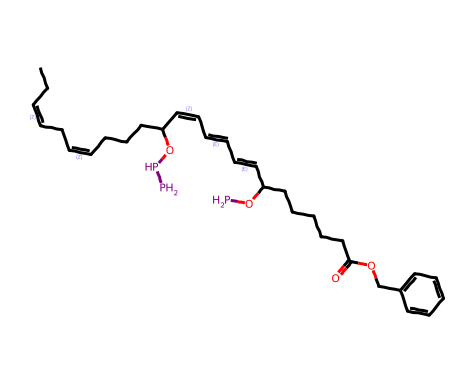 CC/C=C\C/C=C\CCCC(\C=C/C=C/C=C/C(CCCCCC(=O)OCc1ccccc1)OP)OPP